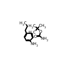 CC(C)(C)OC(N)=O.CCCc1ccc(N)cc1